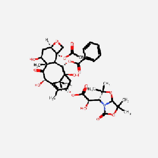 COC(=O)O[C@@]12CO[C@@H]1CC(O)[C@@]1(C)C(=O)[C@H](O)C3=C(C)[C@@H](OC(=O)[C@H](O)[C@H]4N5C(=O)OC(C)(C)C5OC4(C)C)C[C@@](O)([C@@H](OC(=O)c4ccccc4)C12)C3(C)C